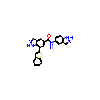 O=C(Nc1ccc2[nH]ncc2c1)c1cc(-c2cc3ccccc3s2)c2[nH]ncc2c1